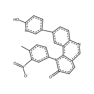 Cc1ccc(-n2c(=O)ccc3cnc4ccc(-c5ccc(O)nc5)cc4c32)cc1[N+](=O)[O-]